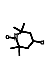 CC1(C)CC(Cl)CC(C)(C)[NH+]1[O-]